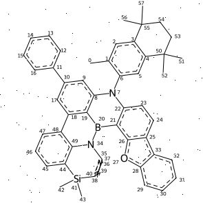 Cc1cc2c(cc1N1c3cc(-c4ccccc4)cc4c3B(c3c1ccc1c3oc3ccccc31)N1c3ccccc3[Si](C)(C)c3cccc-4c31)C(C)(C)CCC2(C)C